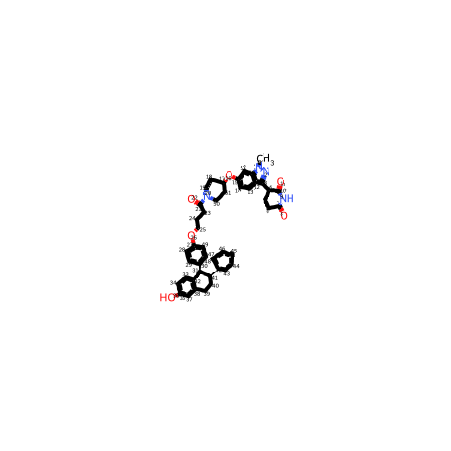 Cn1nc(C2CCC(=O)NC2=O)c2ccc(OC3CCN(C(=O)CCCOc4ccc([C@@H]5c6ccc(O)cc6CC[C@@H]5c5ccccc5)cc4)CC3)cc21